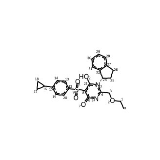 CCOCc1nc(=O)c(S(=O)(=O)c2ccc(C3CC3)cc2)c(O)n1[C@H]1CCc2ccccc21